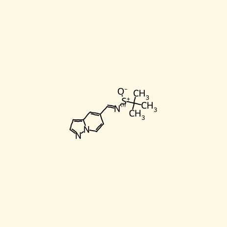 CC(C)(C)[S@@+]([O-])N=Cc1ccn2nccc2c1